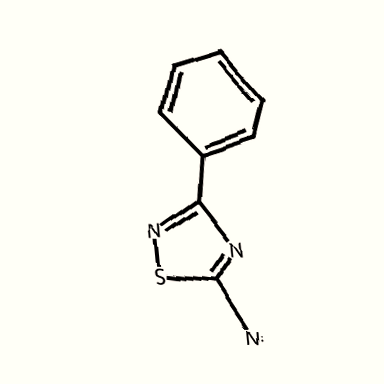 [N]c1nc(-c2ccccc2)ns1